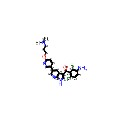 CCN(CC)CCCOc1ccc(-c2cnc3[nH]cc(C(=O)c4c(F)ccc(N)c4F)c3c2)cn1